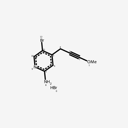 Br.COC#CCc1cc(N)ncc1Br